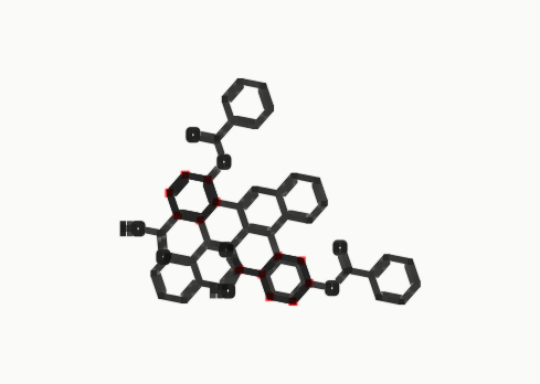 O=C(Oc1ccc(C(=O)O)c(-c2c(-c3c(-c4ccccc4)cc4ccccc4c3-c3cc(OC(=O)c4ccccc4)ccc3C(=O)O)c(-c3ccccc3)cc3ccccc23)c1)c1ccccc1